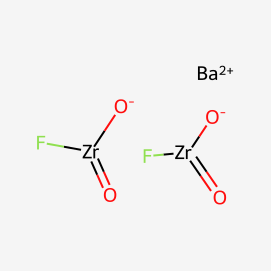 [Ba+2].[O]=[Zr]([O-])[F].[O]=[Zr]([O-])[F]